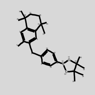 Cc1cc2c(cc1Cc1ccc(B3OC(C)(C)C(C)(C)O3)cc1)C(C)(C)CCC2(C)C